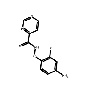 Nc1ccc(ONC(=O)c2ccncn2)c(F)c1